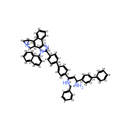 NC(/C=C(\NCc1ccccc1)c1ccc(-c2ccc(-c3nc4c5ccccc5c5c(c4n3-c3cccc4ccccc34)CN3CC53)cc2)cc1)c1ccc(-c2ccccc2)cc1